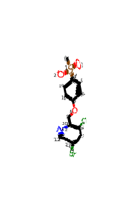 CS(=O)(=O)c1ccc(OCc2ncc(Br)cc2Cl)cc1